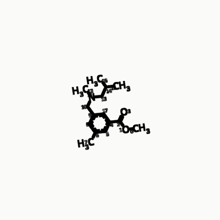 COC(=O)c1cc(C)cc(CN(C)CC(C)C)c1